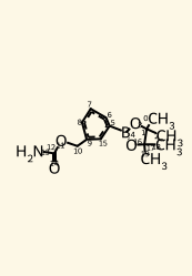 CC1(C)OB(c2cccc(COC(N)=O)c2)OC1(C)C